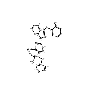 Nc1nc(-n2nc(Cc3ccccc3F)c3ncccc32)ncc1N(Cc1ccccc1)C(=O)O